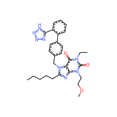 CCCCCc1nc2c(c(=O)n(CC)c(=O)n2CCOC)n1Cc1ccc(-c2ccccc2-c2nnn[nH]2)cc1